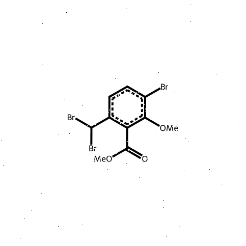 COC(=O)c1c(C(Br)Br)ccc(Br)c1OC